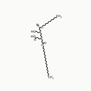 CCCCCCCCCCCCCCCCCCCCCOC(=O)CCN(CCCN(CCO)CCC(=C=O)OCCCCCCCCCCC)CCC(=O)O